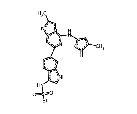 CCS(=O)(=O)Nc1c[nH]c2cc(-c3cc4nc(C)cn4c(Nc4cc(C)[nH]n4)n3)ccc12